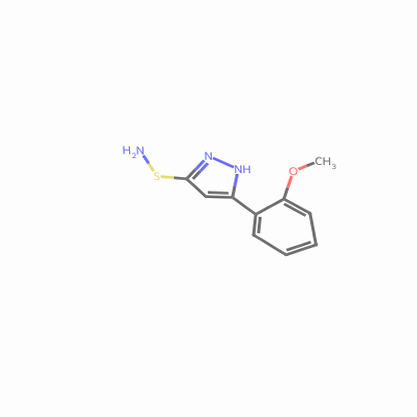 COc1ccccc1-c1cc(SN)n[nH]1